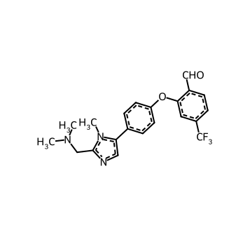 CN(C)Cc1ncc(-c2ccc(Oc3cc(C(F)(F)F)ccc3C=O)cc2)n1C